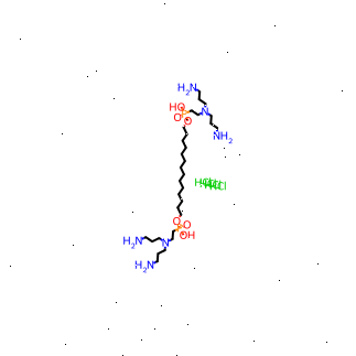 Cl.Cl.Cl.Cl.NCCCN(CCCN)CCP(=O)(O)OCCCCCCCCCCCCCCOP(=O)(O)CCN(CCCN)CCCN